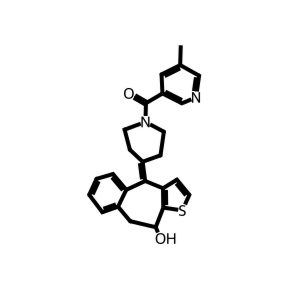 Cc1cncc(C(=O)N2CCC(=C3c4ccccc4CC(O)c4sccc43)CC2)c1